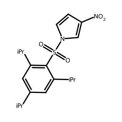 CC(C)c1cc(C(C)C)c(S(=O)(=O)n2ccc([N+](=O)[O-])c2)c(C(C)C)c1